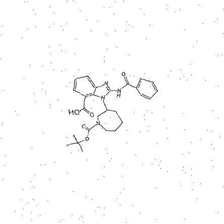 CC(C)(C)OC(=O)N1CCCCC(n2c(NC(=O)c3ccccc3)nc3cccc(C(=O)O)c32)C1